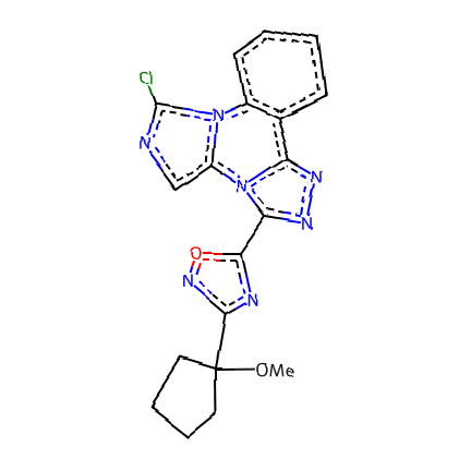 COC1(c2noc(-c3nnc4c5ccccc5n5c(Cl)ncc5n34)n2)CCCC1